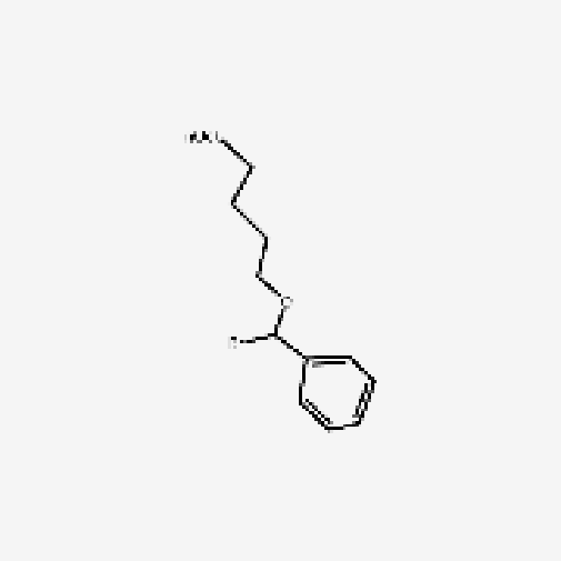 CCCCCCCCCCCCOC(Br)c1ccccc1